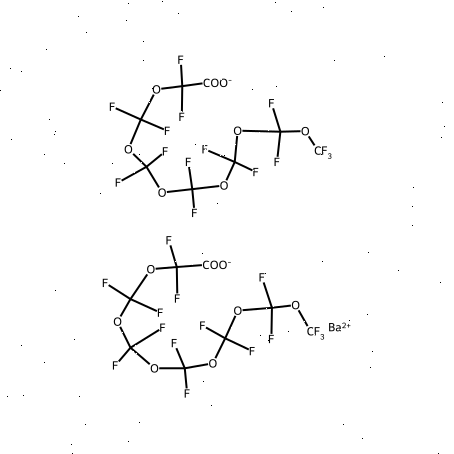 O=C([O-])C(F)(F)OC(F)(F)OC(F)(F)OC(F)(F)OC(F)(F)OC(F)(F)OC(F)(F)F.O=C([O-])C(F)(F)OC(F)(F)OC(F)(F)OC(F)(F)OC(F)(F)OC(F)(F)OC(F)(F)F.[Ba+2]